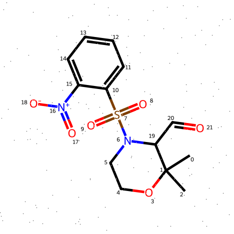 CC1(C)OCCN(S(=O)(=O)c2ccccc2[N+](=O)[O-])C1C=O